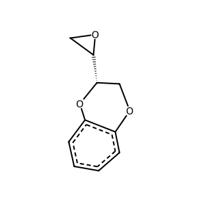 c1ccc2c(c1)OC[C@@H](C1CO1)O2